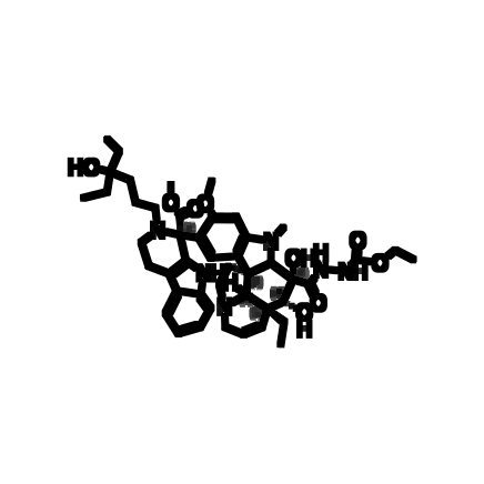 CCOC(=O)NNC(=O)[C@]1(O)C2N(C)c3cc(OC)c([C@]4(C(=O)OC)c5[nH]c6ccccc6c5CCN4CCCC(O)(CC)CC)cc3[C@@]23CCN2CC=C[C@@](CC)([C@H]1O)[C@H]23